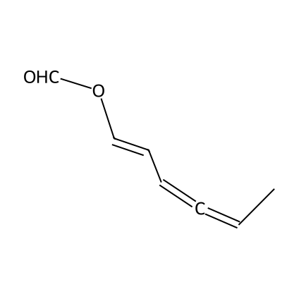 CC=C=CC=COC=O